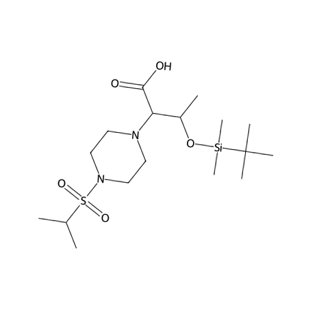 CC(O[Si](C)(C)C(C)(C)C)C(C(=O)O)N1CCN(S(=O)(=O)C(C)C)CC1